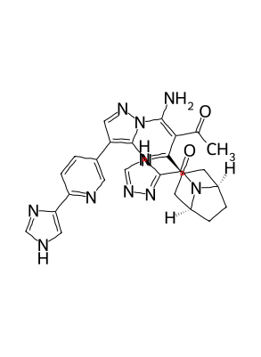 CC(=O)c1c([C@H]2C[C@H]3CC[C@@H](C2)N3C(=O)c2nnc[nH]2)nc2c(-c3ccc(-c4c[nH]cn4)nc3)cnn2c1N